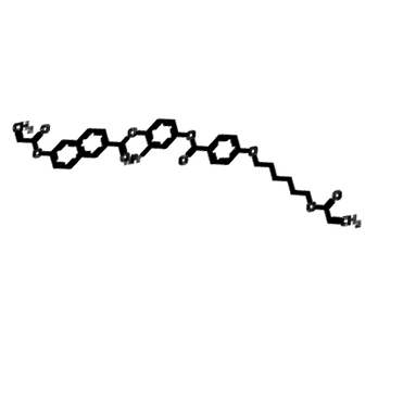 C=CC(=O)OCCCCCCOc1ccc(C(=O)Oc2ccc(OC(=O)c3ccc4cc(OC(=O)C=C)ccc4c3)c(CCC)c2)cc1